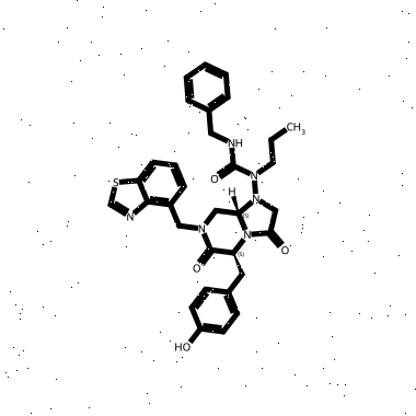 CCCN(C(=O)NCc1ccccc1)N1CC(=O)N2[C@@H](Cc3ccc(O)cc3)C(=O)N(Cc3cccc4scnc34)C[C@@H]21